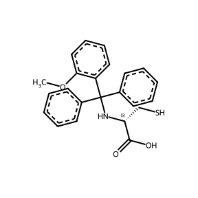 COc1ccccc1C(N[C@H](CS)C(=O)O)(c1ccccc1)c1ccccc1